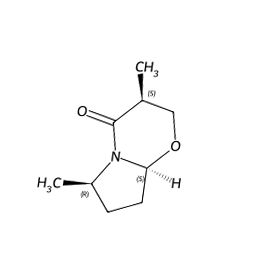 C[C@@H]1CC[C@@H]2OC[C@H](C)C(=O)N12